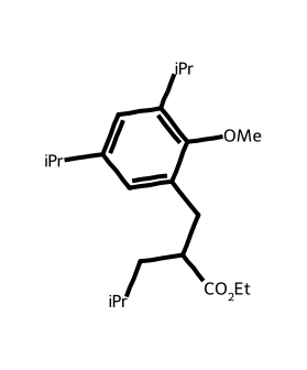 CCOC(=O)C(Cc1cc(C(C)C)cc(C(C)C)c1OC)CC(C)C